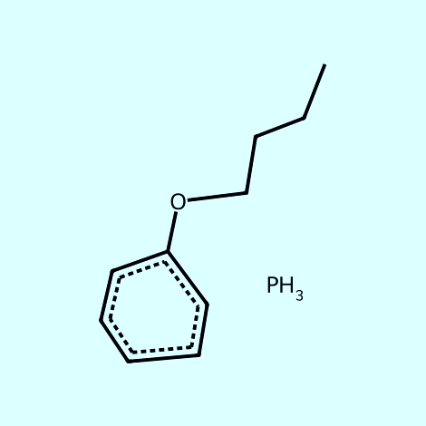 CCCCOc1ccccc1.P